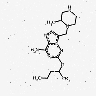 CCCC(C)Oc1nc(N)c2ncc(CN3CCNCC3C)n2n1